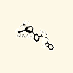 CCOc1ccc(-c2cccc(C(=O)N[C@@H](CO)Cc3c[nH]c4ccccc34)c2)cc1C(=O)NC